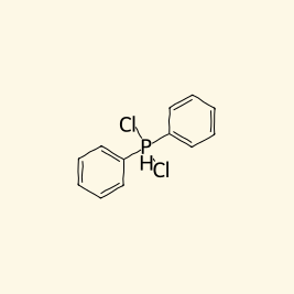 Cl[PH](Cl)(c1ccccc1)c1ccccc1